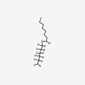 [O]C(CCCCCCF)OC(F)(F)C(F)(F)C(F)(F)C(F)(F)C(F)(F)C(F)F